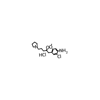 COc1cc(N)c(Cl)cc1CC(=O)CCCN1CCCC1.Cl